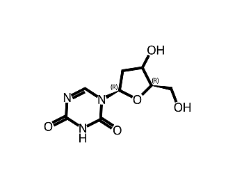 O=c1ncn([C@H]2CC(O)[C@@H](CO)O2)c(=O)[nH]1